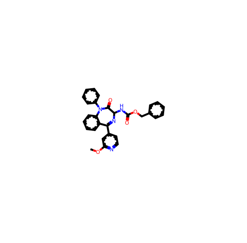 COc1cc(C2=NC(NC(=O)OCc3ccccc3)C(=O)N(c3ccccc3)c3ccccc32)ccn1